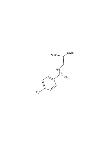 COC(CN[C@H](C)c1ccc(C(F)(F)F)cc1)OC